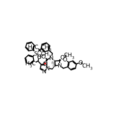 COc1ccc(CN2C(=O)[C@@H](N(Cc3ccccc3)C(=O)O)[C@@H]2Cn2ncc(C(C)O[Si](c3ccccc3)(c3ccccc3)C(C)(C)C)n2)c(OC)c1